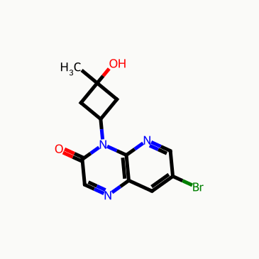 CC1(O)CC(n2c(=O)cnc3cc(Br)cnc32)C1